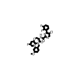 COc1ccc(CN2C(=O)[C@@H](NC(=O)c3ncc(Cl)c(-c4cccc(F)c4F)n3)COc3cc(F)cnc32)cc1